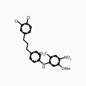 COc1cc(Nc2ccc(CCCc3ccc(Cl)c(Cl)c3)cc2)c(C(=O)O)cc1[N+](=O)[O-]